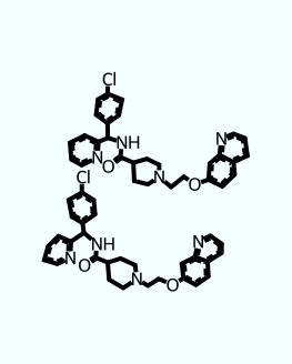 O=C(NC(c1ccc(Cl)cc1)c1ccccn1)C1CCN(CCOc2ccc3cccnc3c2)CC1.O=C(NC(c1ccc(Cl)cc1)c1ccccn1)C1CCN(CCOc2ccc3cccnc3c2)CC1